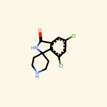 O=C1NC2(CCNCC2)c2c(Cl)cc(Cl)cc21